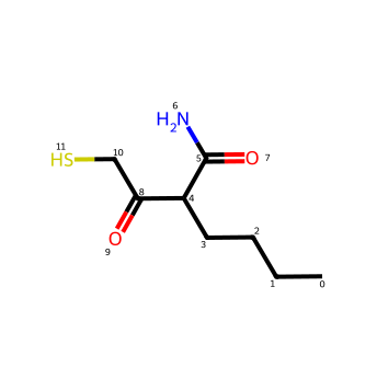 CCCCC(C(N)=O)C(=O)CS